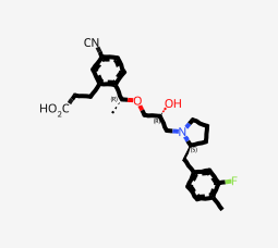 [C-]#[N+]c1ccc([C@@H](C)OC[C@H](O)CN2CCC[C@H]2Cc2ccc(C)c(F)c2)c(CCC(=O)O)c1